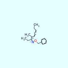 CCC=C=C[C@H](C)/C(CC)=N\OCc1ccccc1